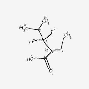 CC[C@H](C(=O)O)C(F)(F)C(C)C